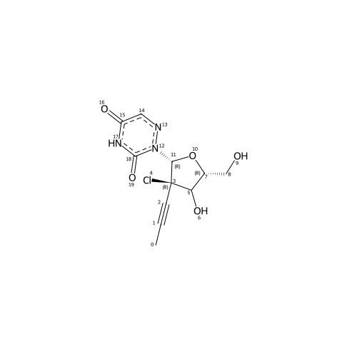 CC#C[C@@]1(Cl)C(O)[C@@H](CO)O[C@H]1n1ncc(=O)[nH]c1=O